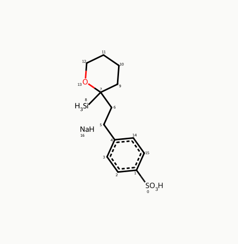 O=S(=O)(O)c1ccc(CCC2([SiH3])CCCCO2)cc1.[NaH]